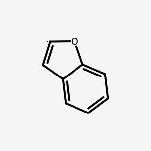 [c]1cc2ccccc2o1